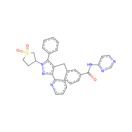 O=C(Nc1ccncn1)c1cccc(Cc2c(-c3ccccn3)nn(C3CCS(=O)(=O)C3)c2-c2ccccc2)c1